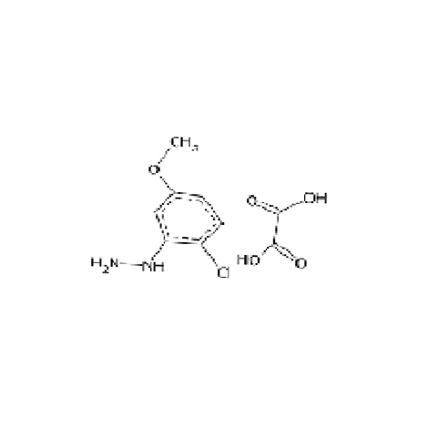 COc1ccc(Cl)c(NN)c1.O=C(O)C(=O)O